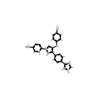 Oc1ccc(-n2cc(Sc3ccc(Cl)cc3)c(-c3ccc(-c4ncon4)cc3)n2)nc1